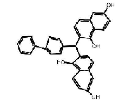 Oc1ccc2c(O)c(C(c3ccc(-c4ccccc4)cc3)c3ccc4cc(O)ccc4c3O)ccc2c1